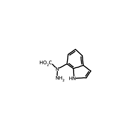 NN(C(=O)O)c1cccc2cc[nH]c12